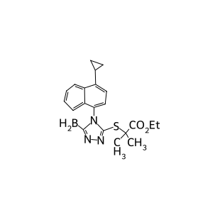 Bc1nnc(SC(C)(C)C(=O)OCC)n1-c1ccc(C2CC2)c2ccccc12